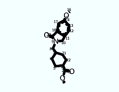 COC(=O)C1CCC(CN2Cc3ccc(OC)cc3C2=O)CC1